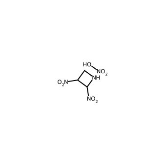 O=[N+]([O-])C1CNC1[N+](=O)[O-].O=[N+]([O-])O